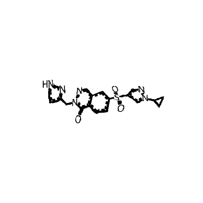 O=c1c2ccc(S(=O)(=O)c3cnn(C4CC4)c3)cc2cnn1Cc1cc[nH]n1